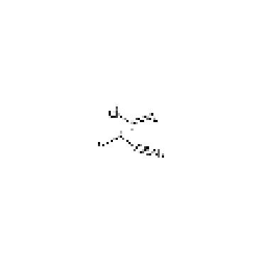 C=CCl.CCC#N